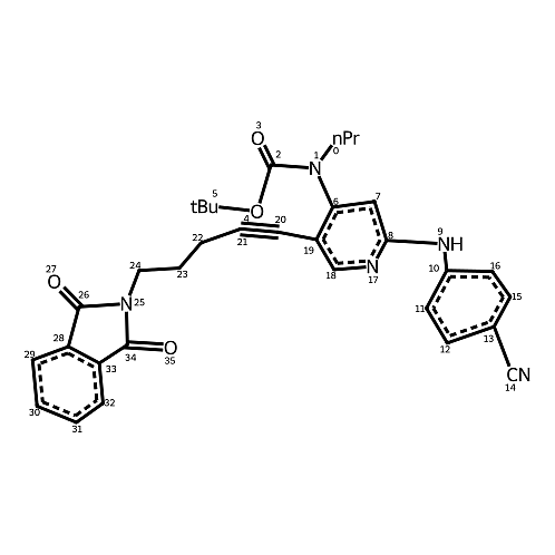 CCCN(C(=O)OC(C)(C)C)c1cc(Nc2ccc(C#N)cc2)ncc1C#CCCCN1C(=O)c2ccccc2C1=O